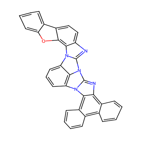 c1ccc2c(c1)oc1c2ccc2nc3n(c4cccc5c4n3c3nc4c6ccccc6c6ccccc6c4n53)c21